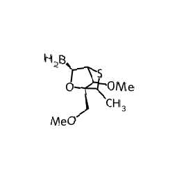 B[C@@H]1O[C@@]2(COC)C(C)SC1C2OC